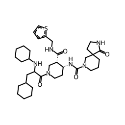 O=C(NCc1cccs1)[C@H]1CN(C(=O)C(CC2CCCCC2)NC2CCCCC2)CC[C@H]1NC(=O)N1CCCC2(CCNC2=O)C1